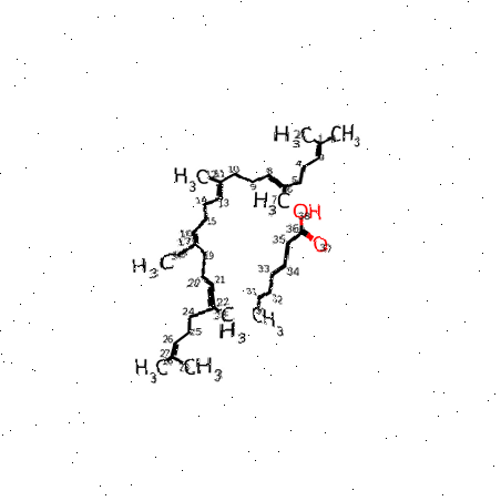 CC(C)=CCCC(C)=CCCC(C)=CCCC=C(C)CCC=C(C)CCC=C(C)C.CCCCCCC(=O)O